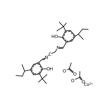 CC(=O)[O-].CC(=O)[O-].CCC(C)c1cc(C=NCCN=Cc2cc(C(C)CC)cc(C(C)(C)C)c2O)c(O)c(C(C)(C)C)c1.[Co+2]